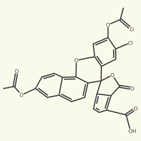 CC(=O)Oc1ccc2c3c(ccc2c1)C1(OC(=O)c2c(C(=O)O)cccc21)c1cc(Cl)c(OC(C)=O)cc1O3